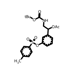 CC(=O)OC(CNC(=O)OC(C)(C)C)c1cccc(OS(=O)(=O)c2ccc(C)cc2)c1